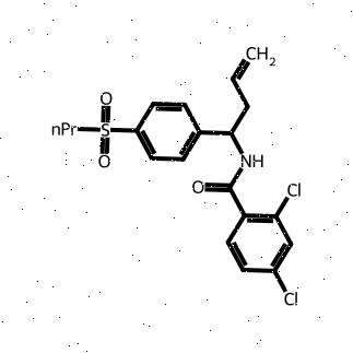 C=CCC(NC(=O)c1ccc(Cl)cc1Cl)c1ccc(S(=O)(=O)CCC)cc1